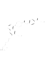 COC(=O)c1ccc(NC(=O)N2CCN(c3ncnc4cc(OCCCC5CCNC5)c(OC)cc34)CC2)cc1